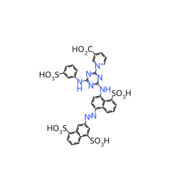 O=C(O)c1ccc[n+](-c2nc(Nc3cccc(S(=O)(=O)O)c3)nc(Nc3ccc(N=Nc4cc(S(=O)(=O)O)c5cccc(S(=O)(=O)O)c5c4)c4cccc(S(=O)(=O)O)c34)n2)c1